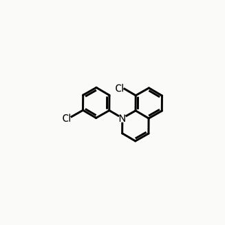 Clc1cccc(N2CC=Cc3cccc(Cl)c32)c1